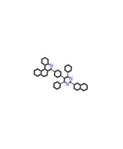 c1ccc(-c2nc(-c3ccc4ccccc4c3)nc(-c3ccccc3)c2-c2ccc(-c3nc4ccccc4c4c3ccc3ccccc34)cc2)cc1